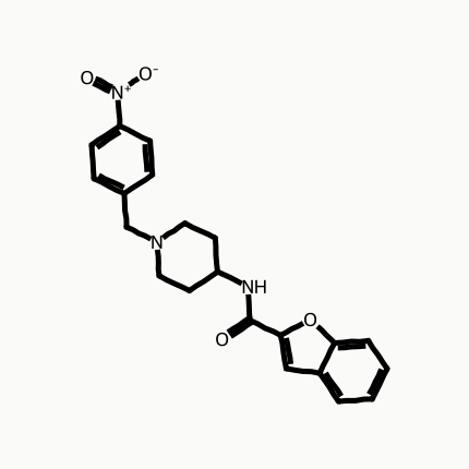 O=C(NC1CCN(Cc2ccc([N+](=O)[O-])cc2)CC1)c1cc2ccccc2o1